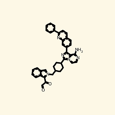 Nc1nccn2c(C3CCC(Cn4cc5ccccc5c4C(=O)C=O)CC3)nc(-c3ccc4ccc(-c5ccccc5)nc4c3)c12